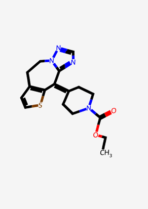 CCOC(=O)N1CCC(=C2c3sccc3CCn3ncnc32)CC1